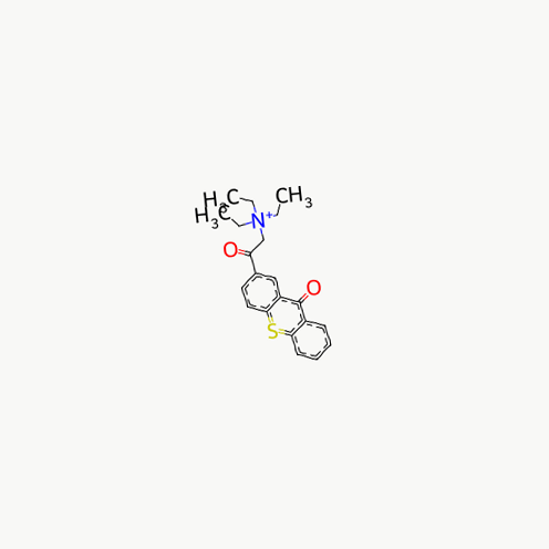 CC[N+](CC)(CC)CC(=O)c1ccc2sc3ccccc3c(=O)c2c1